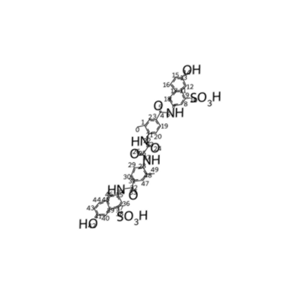 Cc1cc(C(=O)Nc2cc(S(=O)(=O)O)c3cc(O)ccc3c2)ccc1NC(=O)C(=O)Nc1ccc(C(=O)Nc2cc(S(=O)(=O)O)c3cc(O)ccc3c2)cc1C